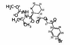 COC(=O)NN(C(=O)[C@H]1CCCC[C@@H]1C(=O)OCC(=O)c1ccc(Br)cc1)C(C)C